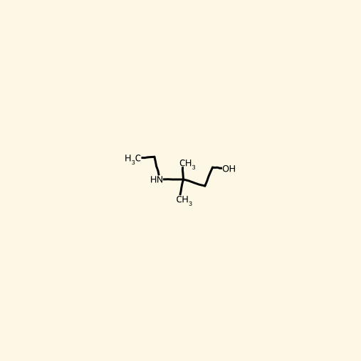 CCNC(C)(C)CCO